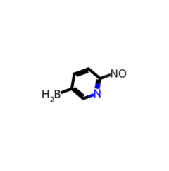 Bc1ccc(N=O)nc1